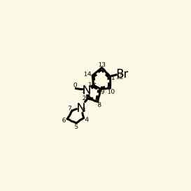 Cn1c(N2CCCC2)cc2cc(Br)ccc21